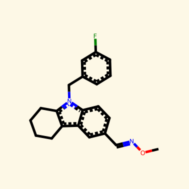 CO/N=C/c1ccc2c(c1)c1c(n2Cc2cccc(F)c2)CCCC1